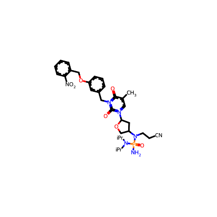 Cc1cn(C2CC(N(CCC#N)P(N)(=O)N(C(C)C)C(C)C)CO2)c(=O)n(Cc2cccc(OCc3ccccc3[N+](=O)[O-])c2)c1=O